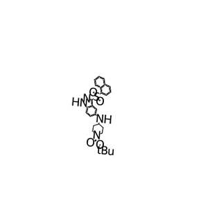 CC(C)(C)OC(=O)N1CCC(Nc2ccc3[nH]nc(S(=O)(=O)c4cccc5ccccc45)c3c2)CC1